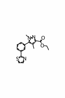 CCOC(=O)c1nn(C)c(-c2cccc(-c3nccs3)c2)c1C